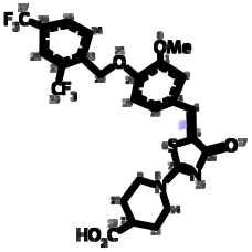 COc1cc(/C=C2\SC(N3CCC(C(=O)O)CC3)=NC2=O)ccc1OCc1ccc(C(F)(F)F)cc1C(F)(F)F